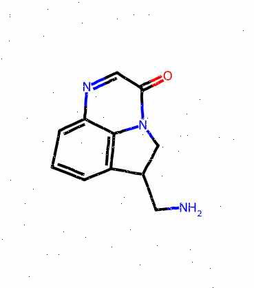 NCC1Cn2c(=O)cnc3cccc1c32